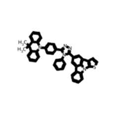 CC1(C)c2ccccc2N(c2ccc(-c3nnc(-c4cc5c6ccccc6n6c7sccc7c(c4)c56)n3-c3ccccc3)cc2)c2ccccc21